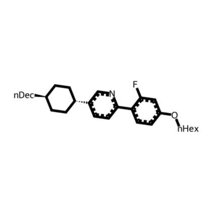 CCCCCCCCCC[C@H]1CC[C@H](c2ccc(-c3ccc(OCCCCCC)cc3F)nc2)CC1